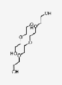 OCCOCCO.OCCOCCOCCOCCO